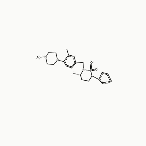 CC(=O)N1CCN(c2ccc(CN3[C@@H](C)CCC(c4ccccc4)S3(=O)=O)cc2C)CC1